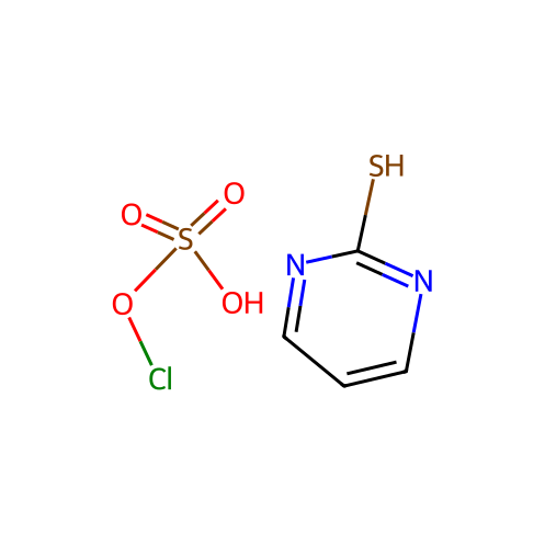 O=S(=O)(O)OCl.Sc1ncccn1